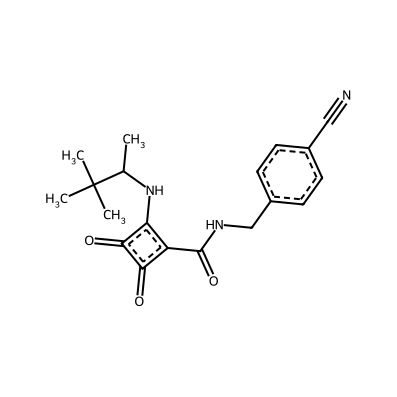 CC(Nc1c(C(=O)NCc2ccc(C#N)cc2)c(=O)c1=O)C(C)(C)C